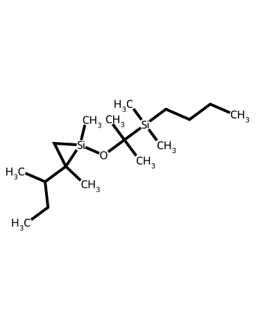 CCCC[Si](C)(C)C(C)(C)O[Si]1(C)CC1(C)C(C)CC